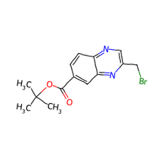 CC(C)(C)OC(=O)c1ccc2ncc(CBr)nc2c1